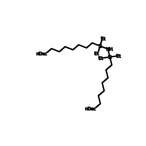 CCCCCCCCCCCCCCCCC[Si](CC)(CC)N[Si](CC)(CC)CCCCCCCCCCCCCCCCC